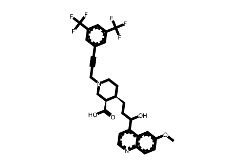 COc1ccc2nccc(C(O)CC[C@@H]3CCN(CC#Cc4cc(C(F)(F)F)cc(C(F)(F)F)c4)C[C@@H]3C(=O)O)c2c1